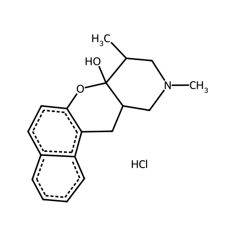 CC1CN(C)CC2Cc3c(ccc4ccccc34)OC12O.Cl